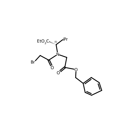 CCOC(=O)[C@H](C(C)C)N(CC(=O)OCc1ccccc1)C(=O)CBr